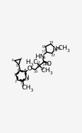 Cc1ccc(C2CC2)c(OCC(C)(C)C(=O)NC2CCN(C)C2)n1